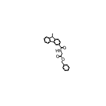 CC1c2ccccc2-c2cc(C(=O)NCC(=O)OCc3ccccc3)ccc21